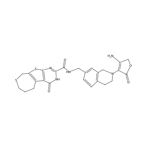 NC1=C(N2CCc3ccc(CNC(=O)c4nc5sc6c(c5c(=O)[nH]4)CCCSC6)cc3C2)C(=O)OC1